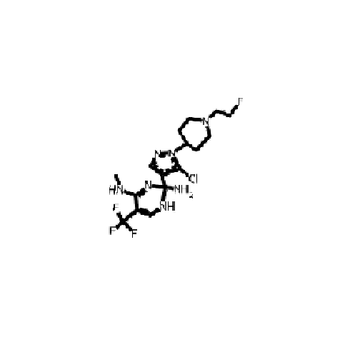 CNC1=NC(N)(c2cnn(C3CCN(CCF)CC3)c2Cl)NC=C1C(F)(F)F